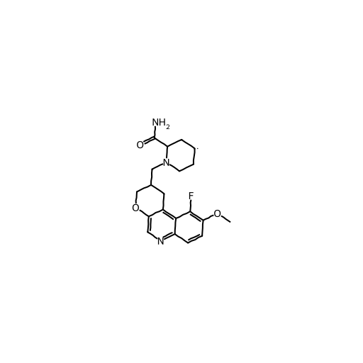 COc1ccc2ncc3c(c2c1F)CC(CN1CC[CH]CC1C(N)=O)CO3